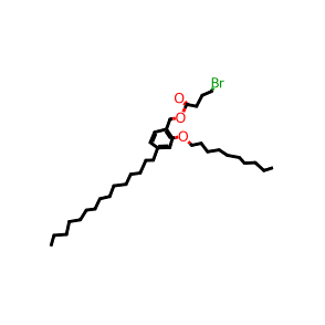 CCCCCCCCCCCCCCCc1ccc(COC(=O)CCCBr)c(OCCCCCCCCCC)c1